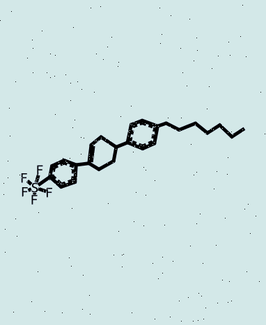 CCCCCCCc1ccc(C2CC=C(c3ccc(S(F)(F)(F)(F)F)cc3)CC2)cc1